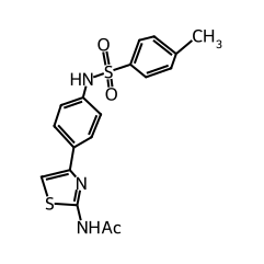 CC(=O)Nc1nc(-c2ccc(NS(=O)(=O)c3ccc(C)cc3)cc2)cs1